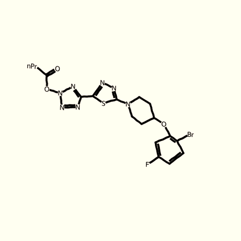 CCCC(=O)On1nnc(-c2nnc(N3CCC(Oc4cc(F)ccc4Br)CC3)s2)n1